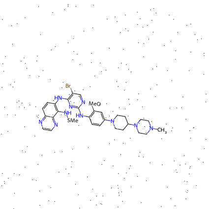 COc1cc(N2CCC(N3CCN(C)CC3)CC2)ccc1Nc1ncc(Br)c(Nc2ccc3nccnc3c2NSC)n1